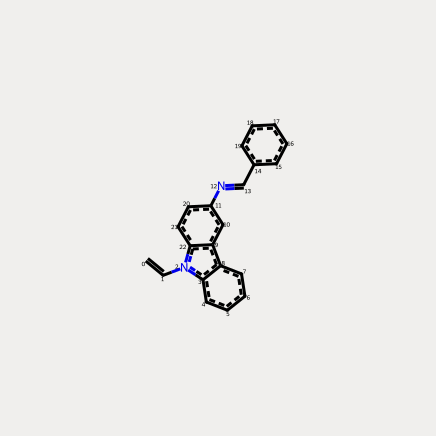 C=Cn1c2ccccc2c2cc(N=Cc3ccccc3)ccc21